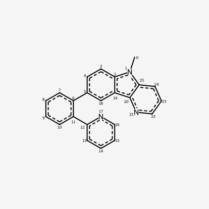 Cn1c2ccc(-c3ccccc3-c3ccccn3)cc2c2ncccc21